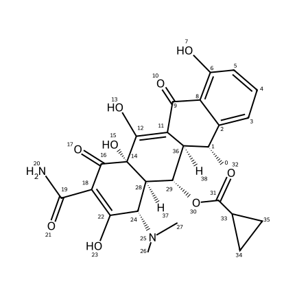 C[C@H]1c2cccc(O)c2C(=O)C2=C(O)[C@]3(O)C(=O)C(C(N)=O)=C(O)[C@@H](N(C)C)[C@@H]3[C@@H](OC(=O)C3CC3)[C@@H]21